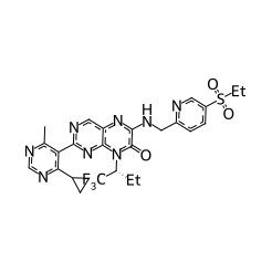 CC[C@@H](n1c(=O)c(NCc2ccc(S(=O)(=O)CC)cn2)nc2cnc(-c3c(C)ncnc3C3CC3)nc21)C(F)(F)F